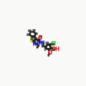 COc1cc(C=Nn2c(C)nc3sc4c(c3c2=O)CCCC4)cc(Cl)c1O